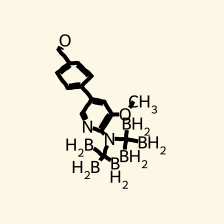 BC(B)(B)N(c1ncc(-c2ccc(C=O)cc2)cc1OC)C(B)(B)B